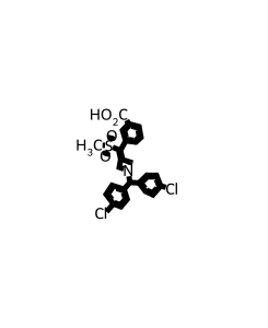 CS(=O)(=O)C(=C1CN(C(c2ccc(Cl)cc2)c2ccc(Cl)cc2)C1)c1cccc(C(=O)O)c1